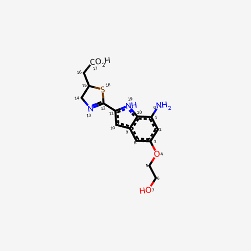 Nc1cc(OCCO)cc2cc(C3=NCC(CC(=O)O)S3)[nH]c12